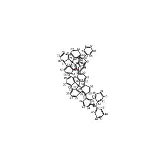 c1ccc(-c2ccc(N(c3ccc4c(c3)C3(c5ccccc5-c5ccccc53)c3cc(-c5cccc6c5c5ccccc5n6-c5ccccc5)ccc3-4)c3cccc4c3C3(c5ccccc5-c5ccccc53)c3ccccc3-4)cc2)cc1